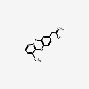 C=C(O)Cc1ccc(Oc2ncccc2C)c(F)c1